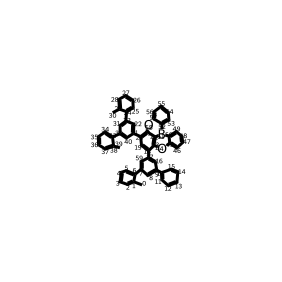 Cc1ccccc1-c1cc(-c2ccccc2)cc(-c2cc(-c3cc(-c4ccccc4C)cc(-c4ccccc4C)c3)c3c4c2Oc2ccccc2B4c2ccccc2O3)c1